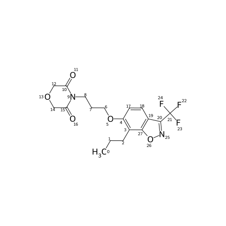 CCCc1c(OCCCN2C(=O)COCC2=O)ccc2c(C(F)(F)F)noc12